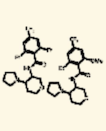 CCc1cc(C(F)(F)F)cc(CC)c1C(=O)NC1COCCC1N1CCCC1.CCc1cc(C(F)(F)F)cc(OC)c1C(=O)NC1COCCC1N1CCCC1